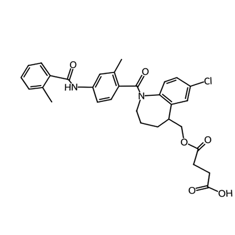 Cc1ccccc1C(=O)Nc1ccc(C(=O)N2CCCC(COC(=O)CCC(=O)O)c3cc(Cl)ccc32)c(C)c1